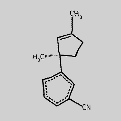 CC1=C[C@](C)(c2cccc(C#N)c2)CC1